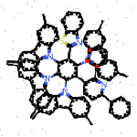 Cc1ccc2c(c1)c1cc(C)ccc1n2-c1c(-c2nc3ccccc3s2)c(-n2c3ccc(C)cc3c3cc(C)ccc32)c(-n2c3ccc(C)cc3c3cc(C)ccc32)c(-n2c3ccc(C)cc3c3cc(C)ccc32)c1-c1ccc(-c2ccccc2)nc1-c1ccccc1